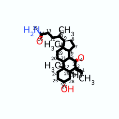 C/C=C1/C(=O)C2C3CC[C@H]([C@H](C)CCC(N)=O)[C@@]3(C)CCC2[C@@]2(C)CC[C@@H](O)C[C@@H]12